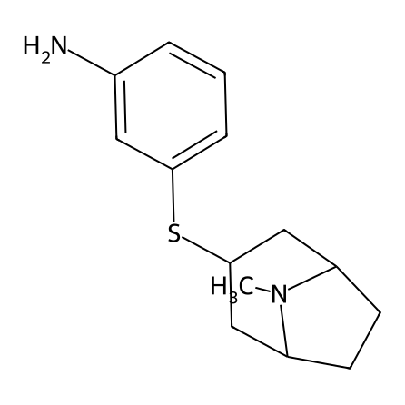 CN1C2CCC1CC(Sc1cccc(N)c1)C2